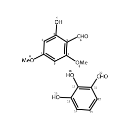 COc1cc(O)c(C=O)c(OC)c1.O=Cc1cccc(O)c1O